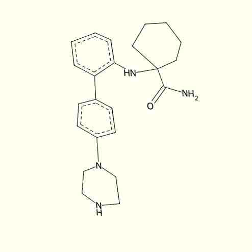 NC(=O)C1(Nc2ccccc2-c2ccc(N3CCNCC3)cc2)CCCCC1